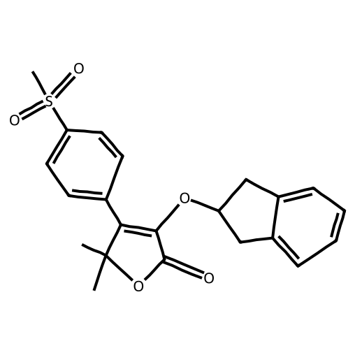 CC1(C)OC(=O)C(OC2Cc3ccccc3C2)=C1c1ccc(S(C)(=O)=O)cc1